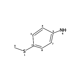 CSc1ccc([NH])cc1